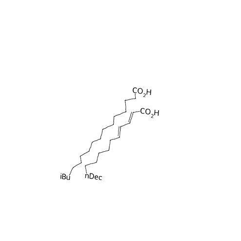 CCC(C)CCCCCCCCCCCCC(=O)O.CCCCCCCCCCCCCCCC=CC=CC(=O)O